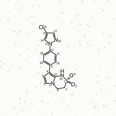 O=S1(=O)CCn2ccc(-c3ccc(-n4cc(Cl)cn4)cc3)c2N1